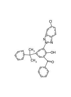 CC(C)(c1ccccc1)c1cc(C(=O)c2ccccc2)c(O)c(-n2nc3ccc(Cl)cc3n2)c1